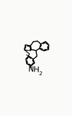 Nc1cccc(CC2c3ccccc3CCc3ccsc32)c1